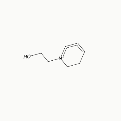 OCC[N+]1=C=C=CCC1